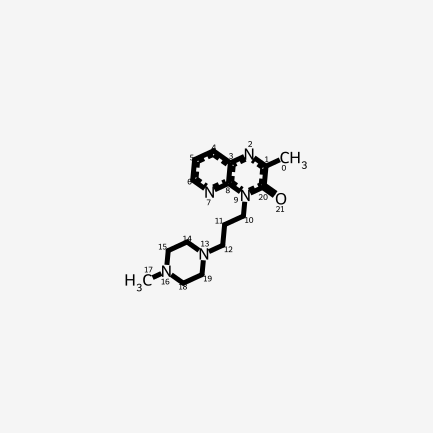 Cc1nc2cccnc2n(CCCN2CCN(C)CC2)c1=O